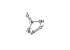 O=[N+]([O-])O.O=[SiH2]